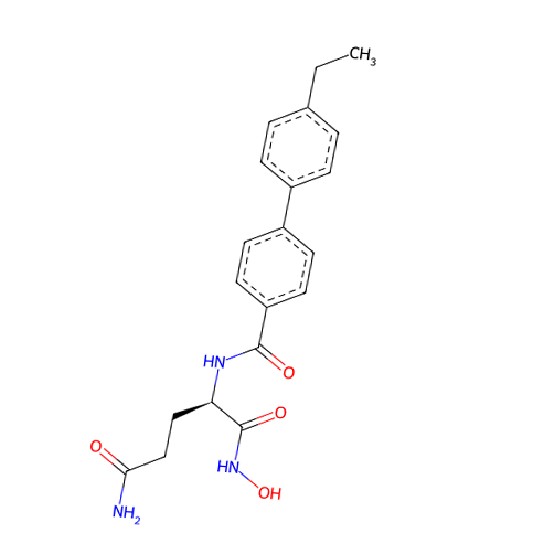 CCc1ccc(-c2ccc(C(=O)N[C@H](CCC(N)=O)C(=O)NO)cc2)cc1